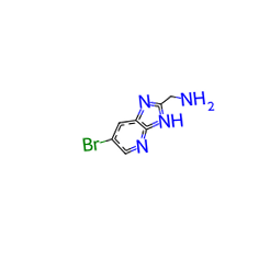 NCc1nc2cc(Br)cnc2[nH]1